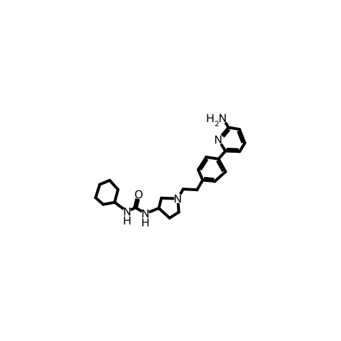 Nc1cccc(-c2ccc(CCN3CCC(NC(=O)NC4CCCCC4)C3)cc2)n1